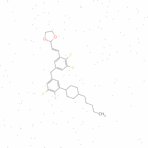 CCCCCC1CCC(c2cc(Cc3cc(F)c(F)c(C=CC4OCCO4)c3)cc(F)c2F)CC1